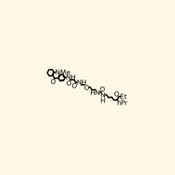 CCCC(CCCCNC(=O)NCCCOCCNC(=O)CC(=O)Nc1ccc(C(=O)C2=C(NC)CCCC2)cc1)C(=O)CC